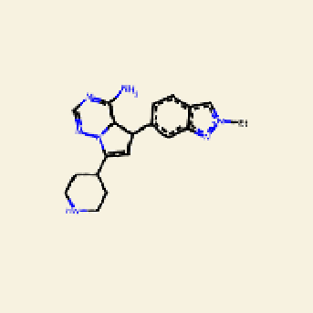 CCn1cc2ccc(C3C=C(C4CCNCC4)N4N=CN=C(N)C34)cc2n1